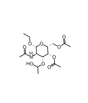 CCO[C@@H]1O[C@H](COC(C)=O)[C@H](OC(C)=O)[C@H](OC(C)O)[C@H]1NC(C)=O